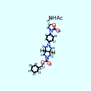 CC(=O)NC[C@H]1CN(c2ccc(N3C[C@H]4CN(C(=O)OCc5ccccc5)C[C@H]4C3)cc2)C(=O)O1